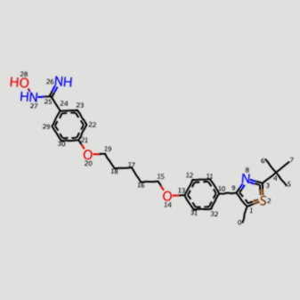 Cc1sc(C(C)(C)C)nc1-c1ccc(OCCCCCOc2ccc(C(=N)NO)cc2)cc1